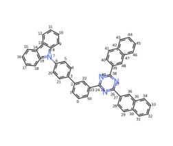 c1cc(-c2ccc(-n3c4ccccc4c4ccccc43)cc2)cc(-c2nc(-c3ccc4ccccc4c3)nc(-c3ccc4ccccc4c3)n2)c1